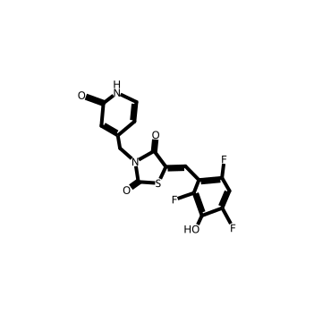 O=C1SC(=Cc2c(F)cc(F)c(O)c2F)C(=O)N1Cc1cc[nH]c(=O)c1